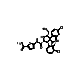 CC(C)(C)C[C@@H]1N[C@@H](C(=O)Nc2ccc(C(N)=O)s2)[C@H](c2cccc(Cl)c2F)[C@]12C(=O)Nc1cc(Cl)ccc12